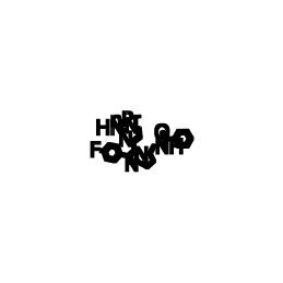 CCCNc1nccc(-c2c(-c3ccc(F)cc3)nc3n2C(CNC(=O)c2ccccc2)CC3)n1